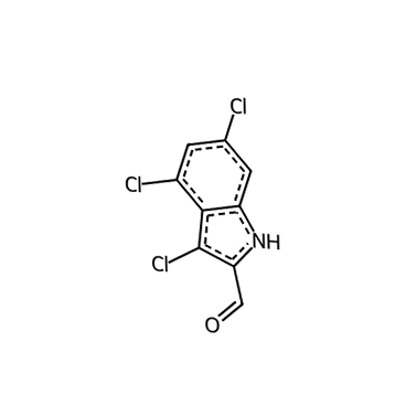 O=Cc1[nH]c2cc(Cl)cc(Cl)c2c1Cl